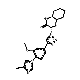 COc1cc(-c2cn(C3CC4CCCCC4NC3=O)nn2)ccc1-n1cnc(C)c1